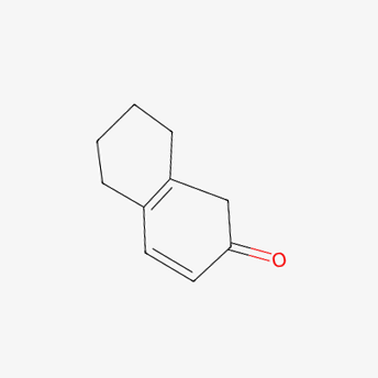 O=C1C=CC2=C(CCCC2)C1